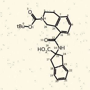 CC(C)(C)OC(=O)N1CCc2cccc(C(=O)NC3(C(=O)O)Cc4ccccc4C3)c2C1